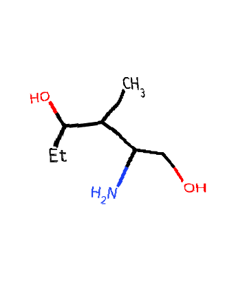 CCC(O)C(C)C(N)CO